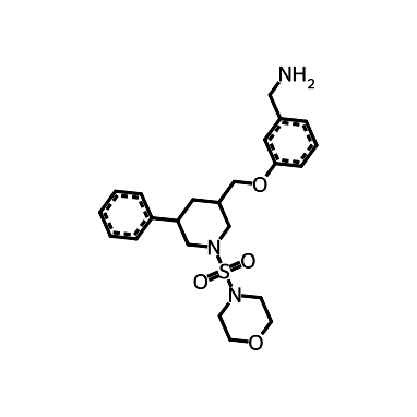 NCc1cccc(OCC2CC(c3ccccc3)CN(S(=O)(=O)N3CCOCC3)C2)c1